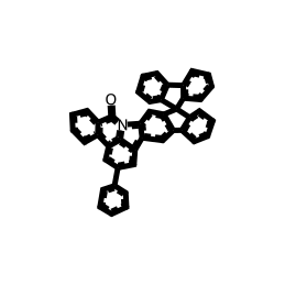 O=c1c2ccccc2c2cc(-c3ccccc3)cc3c4cc5c(cc4n1c23)C1(c2ccccc2-c2ccccc21)c1ccccc1-5